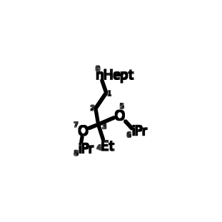 CCCCCCCCCC(CC)(OC(C)C)OC(C)C